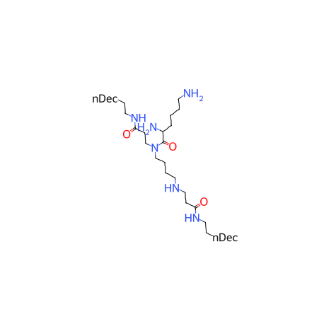 CCCCCCCCCCCCNC(=O)CCNCCCCN(CCC(=O)NCCCCCCCCCCCC)C(=O)C(N)CCCCN